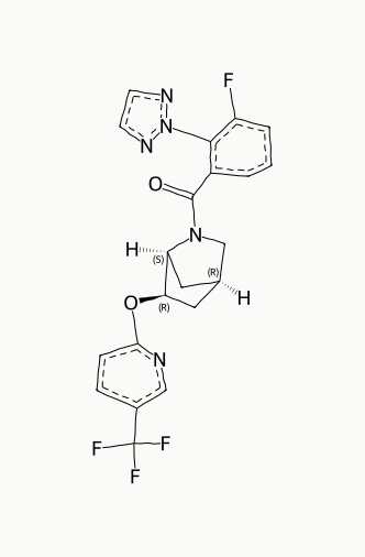 O=C(c1cccc(F)c1-n1nccn1)N1C[C@H]2C[C@@H](Oc3ccc(C(F)(F)F)cn3)[C@@H]1C2